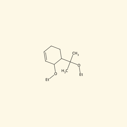 CCOC1C=CCCC1C(C)(C)OCC